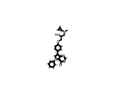 CN(CC(O)COc1ccc(-c2cn(-c3ccccc3)c3c(Cl)ncnc23)cc1)C1CC1